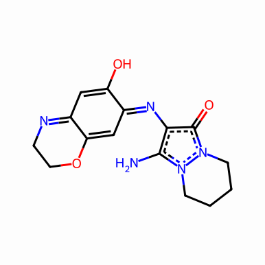 Nc1c(N=C2C=C3OCCN=C3C=C2O)c(=O)n2n1CCCC2